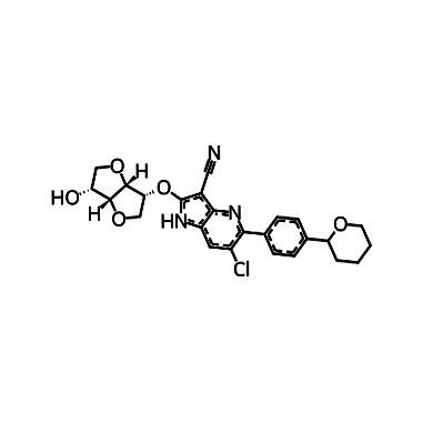 N#Cc1c(O[C@@H]2CO[C@H]3[C@@H]2OC[C@H]3O)[nH]c2cc(Cl)c(-c3ccc(C4CCCCO4)cc3)nc12